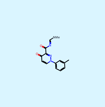 CN/C=N/C(=O)c1nn(-c2cccc(C)c2)ccc1=O